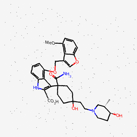 COc1cccc2occ(COc3cccc4[nH]c(C(=O)O)c(C5(C(N)=O)CCC(O)(CCN6CC[C@H](O)[C@@H](C)C6)CC5)c34)c12